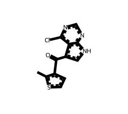 Cc1sccc1C(=O)c1c[nH]c2ncnc(Cl)c12